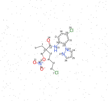 CCC(CCCCCl)(CO[N+](=O)[O-])C(=O)Nc1ccc(Cl)cc1-n1cccn1